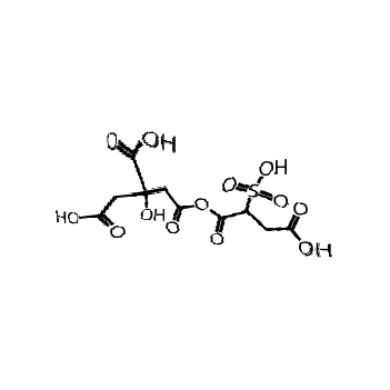 O=C(O)CC(C(=O)OC(=O)CC(O)(CC(=O)O)C(=O)O)S(=O)(=O)O